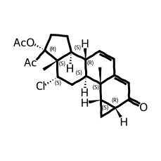 CC(=O)O[C@]1(C(C)=O)CC[C@H]2[C@@H]3C=CC4=CC(=O)[C@@H]5C[C@@H]5[C@]4(C)[C@H]3C[C@H](Cl)[C@@]21C